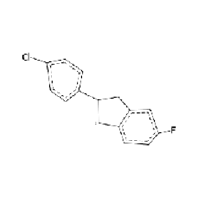 Fc1ccc2c(c1)CC(c1ccc(Cl)cc1)[C]2